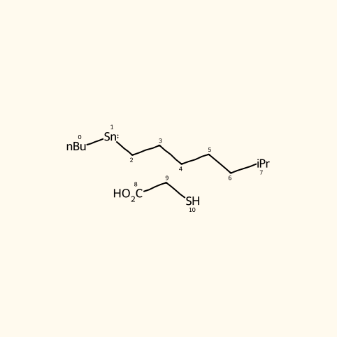 CCC[CH2][Sn][CH2]CCCCC(C)C.O=C(O)CS